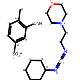 C(=NCCN1CCOCC1)=NC1CCCCC1.COc1cc(S(=O)(=O)O)ccc1C